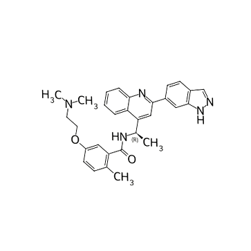 Cc1ccc(OCCN(C)C)cc1C(=O)N[C@H](C)c1cc(-c2ccc3cn[nH]c3c2)nc2ccccc12